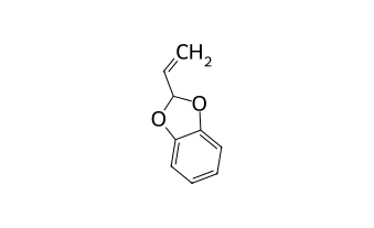 C=CC1Oc2ccccc2O1